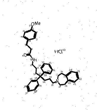 COc1ccc(CCC(=O)NCCCC(CCCN2CCc3ccccc3CC2)(c2ccccc2)c2ccccc2)cc1.Cl